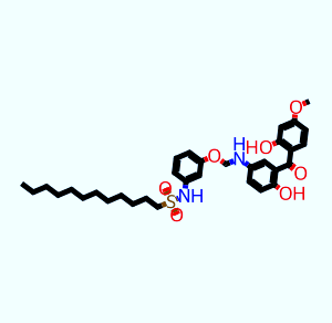 CCCCCCCCCCCCS(=O)(=O)Nc1cccc(OCNc2ccc(O)c(C(=O)c3ccc(OC)cc3O)c2)c1